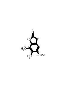 CSc1cc2c(c(C)c1O)OC(=O)C2